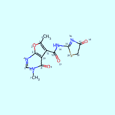 Cc1oc2ncn(C)c(=O)c2c1C(=O)NC1=NC(=O)CS1